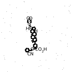 CC1(C)C(C2=CCC(COCc3ccccc3C#N)(C(=O)O)CC2)=CCC2(C)C1CCC1(C)C3CCC4(NCCN5CCS(=O)(=O)CC5)CCC[C@@H]4C3CCC12